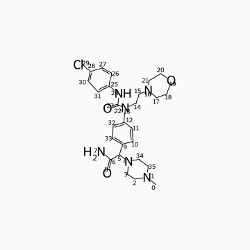 CN1CCN(C(C(N)=O)c2ccc(N(CCN3CCOCC3)C(=O)Nc3ccc(Cl)cc3)cc2)CC1